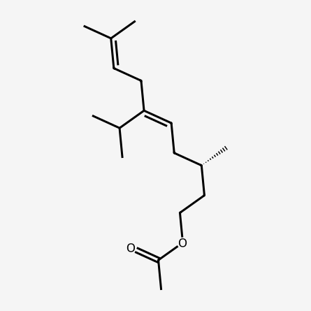 CC(=O)OCC[C@@H](C)CC=C(CC=C(C)C)C(C)C